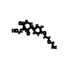 CC(=O)COCCOc1ccc(C2CCC(=O)N(C(=O)O)C2=O)cc1